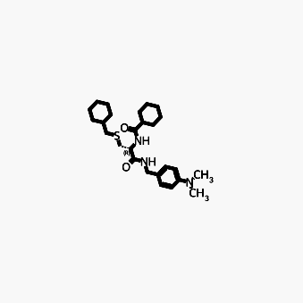 CN(C)c1ccc(CNC(=O)[C@H](CSCC2CCCCC2)NC(=O)C2CCCCC2)cc1